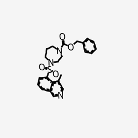 Cc1cncc2cccc(S(=O)(=O)N3CCCN(C(=O)OCc4ccccc4)CC3)c12